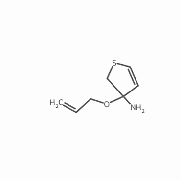 C=CCOC1(N)C=CSC1